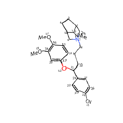 CNC1C2CCC1CN(CCCC(Oc1ccc(OC)c(OC)c1)c1ccc(C#N)cc1)C2